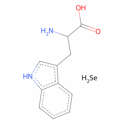 NC(Cc1c[nH]c2ccccc12)C(=O)O.[SeH2]